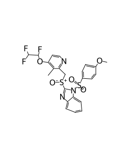 COc1ccc(S(=O)(=O)n2c([S+]([O-])Cc3nccc(OC(F)C(F)F)c3C)nc3ccccc32)cc1